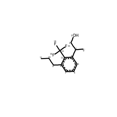 [CH2]C(CO)c1cccc(CCC)c1C(F)(F)F